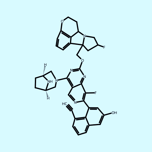 C#Cc1cccc2cc(O)cc(-c3ncc4c(N5C[C@H]6CC[C@@H](C5)N6)nc(OCC56CC(F)CN5C5CCOc7cccc6c75)nc4c3F)c12